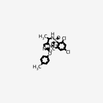 CCn1c(C(C)NS(=O)(=O)c2c(C)cc(Cl)cc2Cl)cnc1Oc1ccc(C)cc1